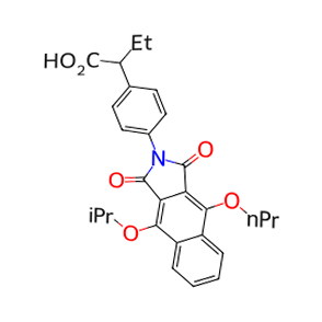 CCCOc1c2c(c(OC(C)C)c3ccccc13)C(=O)N(c1ccc(C(CC)C(=O)O)cc1)C2=O